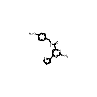 COc1ccc(CNC(=O)c2cc(-c3ccco3)nc(N)n2)cc1